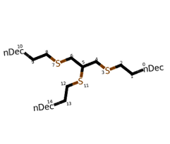 CCCCCCCCCCCCSCC(CSCCCCCCCCCCCC)SCCCCCCCCCCCC